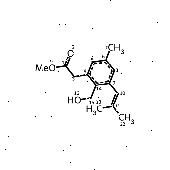 COC(=O)Cc1cc(C)cc(C=C(C)C)c1CO